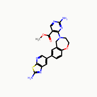 COC(=O)c1cnc(N)nc1N1CCOc2ccc(-c3cnc4sc(N)nc4c3)cc2C1